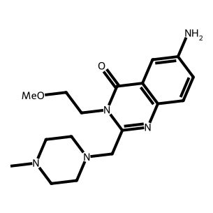 COCCn1c(CN2CCN(C)CC2)nc2ccc(N)cc2c1=O